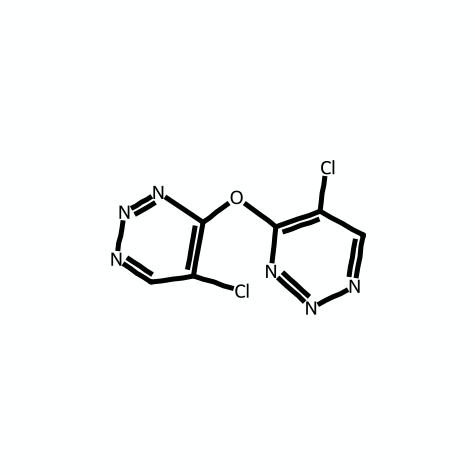 Clc1cnnnc1Oc1nnncc1Cl